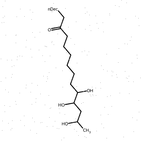 CCCCCCCCCCCC(=O)CCCCCCC(O)C(O)CC(C)O